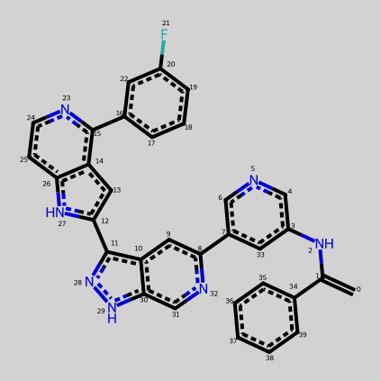 C=C(Nc1cncc(-c2cc3c(-c4cc5c(-c6cccc(F)c6)nccc5[nH]4)n[nH]c3cn2)c1)c1ccccc1